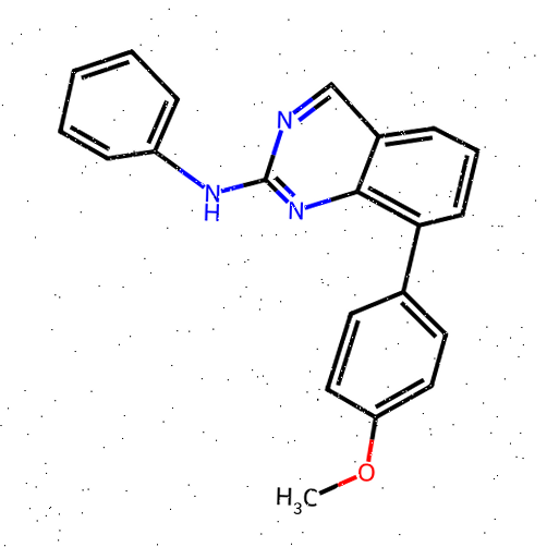 COc1ccc(-c2cccc3cnc(Nc4ccccc4)nc23)cc1